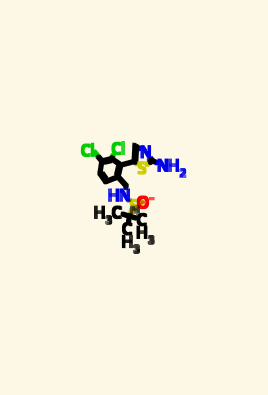 CC(C)(C)[S@@+]([O-])NCc1ccc(Cl)c(Cl)c1-c1cnc(N)s1